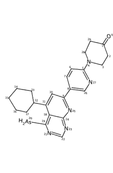 O=C1CCN(c2ccc(-c3cc(C4CCCCC4)c4c([AsH2])ncnc4n3)cn2)CC1